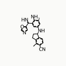 Cc1c(C#N)ccc2c1CCC2Nc1ccc(N)c(C(=N)c2cnco2)c1